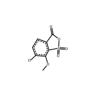 COc1c(Cl)ccc2c1S(=O)(=O)OC2=O